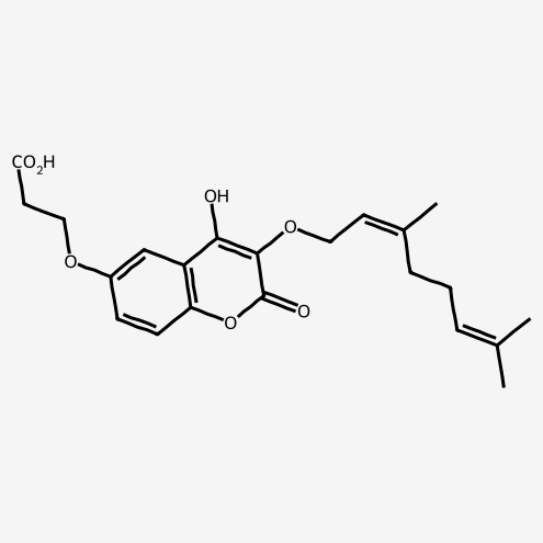 CC(C)=CCCC(C)=CCOc1c(O)c2cc(OCCC(=O)O)ccc2oc1=O